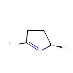 CC[C@@H]1CCC(C)=N1